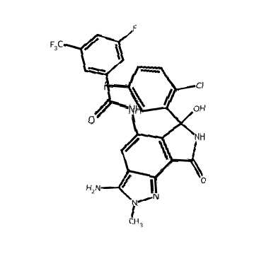 Cn1nc2c3c(c(NC(=O)c4cc(F)cc(C(F)(F)F)c4)cc2c1N)C(O)(c1cc(F)ccc1Cl)NC3=O